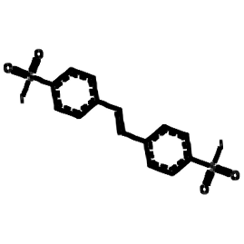 O=S(=O)(I)c1ccc(/C=C/c2ccc(S(=O)(=O)I)cc2)cc1